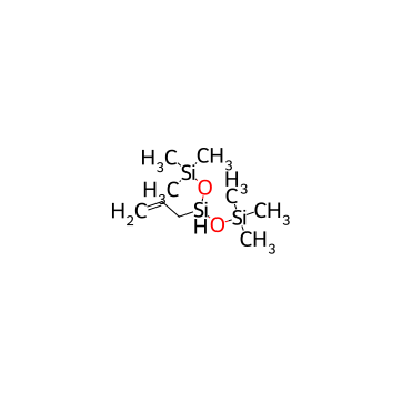 C=CC[SiH](O[Si](C)(C)C)O[Si](C)(C)C